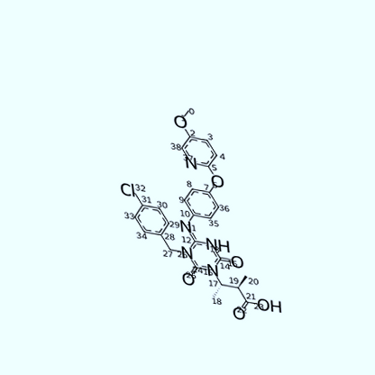 COc1ccc(Oc2ccc(/N=c3\[nH]c(=O)n([C@@H](C)[C@@H](C)C(=O)O)c(=O)n3Cc3ccc(Cl)cc3)cc2)nc1